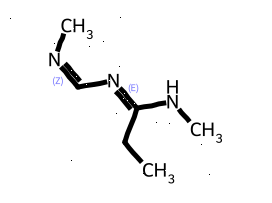 CC/C(=N\C=N/C)NC